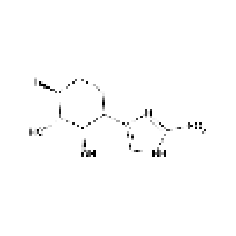 O=[N+]([O-])c1nc(C2OC[C@H](I)[C@@H](O)[C@@H]2O)c[nH]1